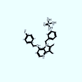 Cc1c(C)n(Cc2ccccc2)c2c(OCc3ccc(F)cc3)ccnc12.O=P(O)(O)O